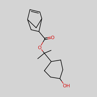 CC(C)(OC(=O)C1CC2C=CC1C2)C1CCC(O)CC1